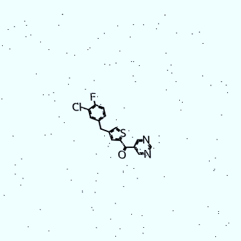 O=C(c1cncnc1)c1cc(Cc2ccc(F)c(Cl)c2)cs1